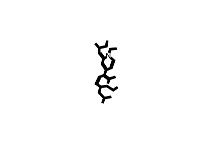 CCCC(/C=C\C(C1=C/C(=C/C(C)CC)N(CC)C=C1)=C(C)C)CC(C)C